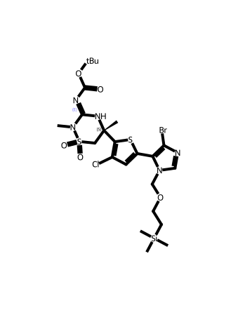 CN1/C(=N/C(=O)OC(C)(C)C)N[C@](C)(c2sc(-c3c(Br)ncn3COCC[Si](C)(C)C)cc2Cl)CS1(=O)=O